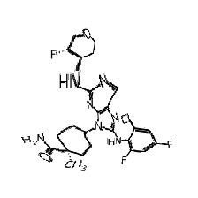 C[C@]1(C(N)=O)CC[C@@H](n2c(Nc3c(F)cc(F)cc3Cl)nc3cnc(N[C@@H]4CCOC[C@H]4F)nc32)CC1